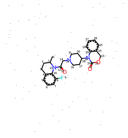 CC1CCc2cccc(F)c2N1C(=O)CN1CCC(N2C(=O)OCc3ccccc32)CC1